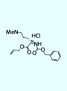 C=CCOC(=O)[C@H](CCCNC)NC(=O)OCc1ccccc1.Cl